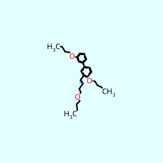 CCCCOCC/C=C/c1cc(-c2cccc(OCCCC)c2)ccc1OCCCC